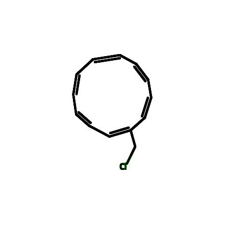 ClCC1=C/C=C\C=C/C=C\C=C/C=C\1